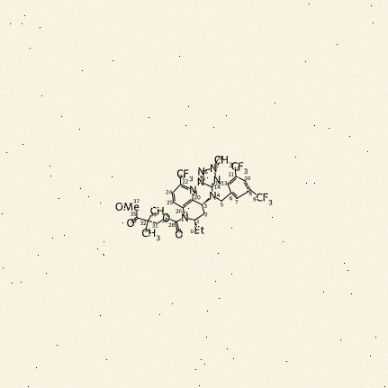 CC[C@@H]1C[C@H](N(Cc2cc(C(F)(F)F)cc(C(F)(F)F)c2)c2nnn(C)n2)c2nc(C(F)(F)F)ccc2N1C(=O)OCC(C)(C)C(=O)OC